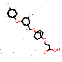 O=C(O)CCOC12CCC(OCc3cc(F)cc(Oc4ccc(F)cc4)c3)(CC1)C2